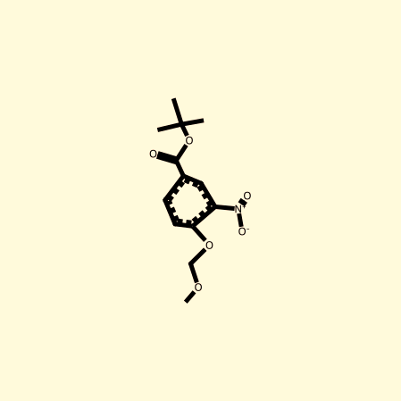 COCOc1ccc(C(=O)OC(C)(C)C)cc1[N+](=O)[O-]